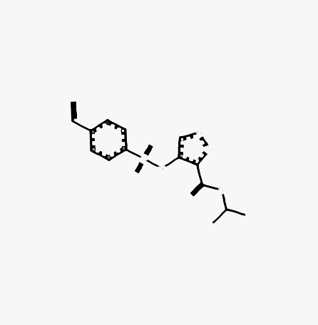 C=Cc1ccc(S(=O)(=O)Nc2c[nH]nc2C(=O)NC(C)C)cc1